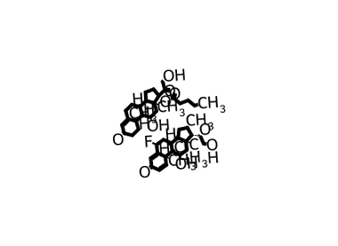 CCCCC(=O)O[C@]1(C(=O)CO)CC[C@H]2[C@@H]3CCC4=CC(=O)CC[C@]4(C)[C@H]3[C@@H](O)C[C@@]21C.C[C@@H]1C[C@H]2[C@@H]3C[C@H](F)C4=CC(=O)C=C[C@]4(C)[C@@]3(Cl)[C@@H](O)C[C@]2(C)[C@H]1C(=O)CO